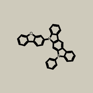 c1ccc(-n2c3ccccc3c3cc4c5ccccc5n(-c5ccc6c(c5)oc5ccccc56)c4cc32)cc1